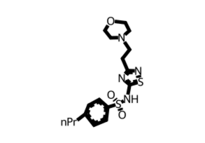 CCCc1ccc(S(=O)(=O)Nc2nc(CCN3CCOCC3)ns2)cc1